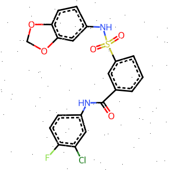 O=C(Nc1ccc(F)c(Cl)c1)c1cccc(S(=O)(=O)Nc2ccc3c(c2)OCO3)c1